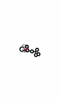 CC1CCCCCNC(C2CCC(C3CCC(N(C4CCCCC4)C4CCCC5CCCC[C@H]54)CC3)CC2)N1C1CCCCC1